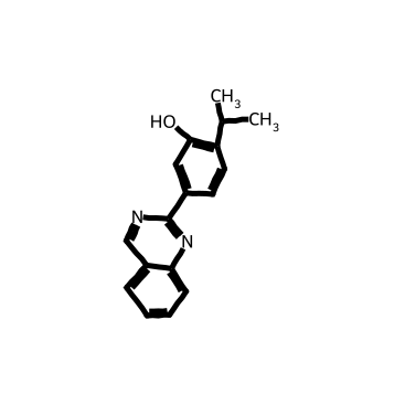 CC(C)c1ccc(-c2ncc3ccccc3n2)cc1O